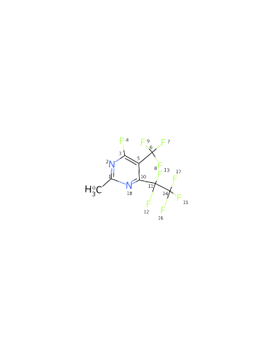 Cc1nc(F)c(C(F)(F)F)c(C(F)(F)C(F)(F)F)n1